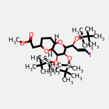 COC(=O)CC1CC[C@@H]2OC([C@H](/C=C/I)O[Si](C)(C)C(C)(C)C)[C@@H](O[Si](C)(C)C(C)(C)C)[C@@H](O[Si](C)(C)C(C)(C)C)[C@H]2O1